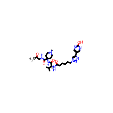 BC(=O)CNC(=O)C1(NC(=O)[C@@H](NC(=O)CCCCCn2cc(-c3cnc(O)nc3)nn2)C(C)C)CCN(C)CC1